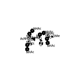 CC(=O)Nc1ccc(-c2ccc3nc(NC(C)=O)nc(OCC4CC4)c3c2)cc1.CC(=O)Nc1ccc(-c2ccc3nc(NC(C)=O)nc(OCCN4CCOCC4)c3c2)cc1.CCOc1nc(NC(C)=O)nc2ccc(-c3ccc(NC(C)=O)cc3)cc12.COCCOc1nc(NC(C)=O)nc2ccc(-c3ccc(NC(C)=O)cc3)cc12